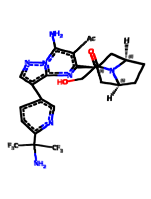 CC(=O)c1c([C@H]2C[C@H]3CC[C@@H](C2)N3C(=O)CO)nc2c(-c3ccc(C(N)(C(F)(F)F)C(F)(F)F)nc3)cnn2c1N